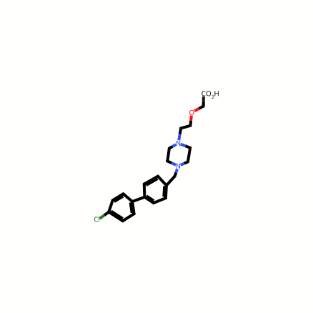 O=C(O)COCCN1CCN(Cc2ccc(-c3ccc(Cl)cc3)cc2)CC1